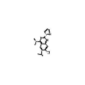 CC(C)c1cc2c(N(C)C)nc(-n3cccn3)nc2cc1Cl